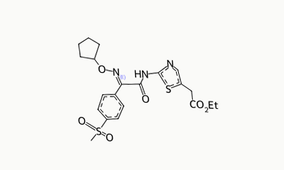 CCOC(=O)Cc1cnc(NC(=O)/C(=N/OC2CCCC2)c2ccc(S(C)(=O)=O)cc2)s1